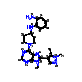 Cc1c(-c2nc3c(N4CCC(Nc5ccccc5N)CC4)ncnc3n2C)cnn1C